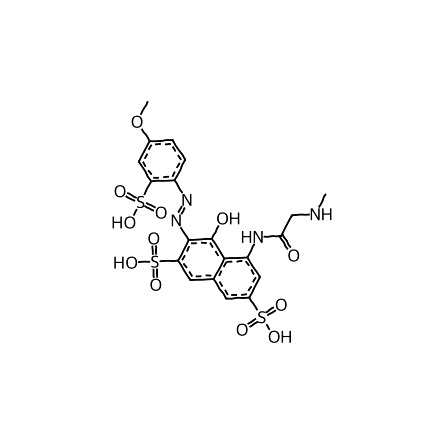 CNCC(=O)Nc1cc(S(=O)(=O)O)cc2cc(S(=O)(=O)O)c(N=Nc3ccc(OC)cc3S(=O)(=O)O)c(O)c12